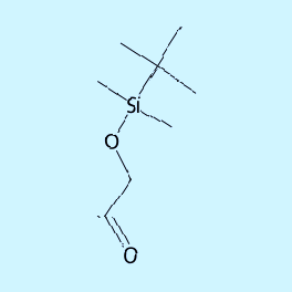 CC(C)(C)[Si](C)(C)OC[C]=O